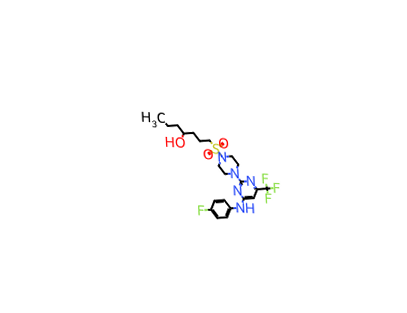 CCCC(O)CCCS(=O)(=O)N1CCN(c2nc(Nc3ccc(F)cc3)cc(C(F)(F)F)n2)CC1